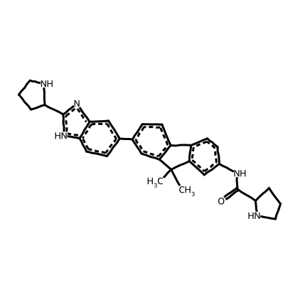 CC1(C)c2cc(NC(=O)C3CCCN3)ccc2-c2ccc(-c3ccc4[nH]c(C5CCCN5)nc4c3)cc21